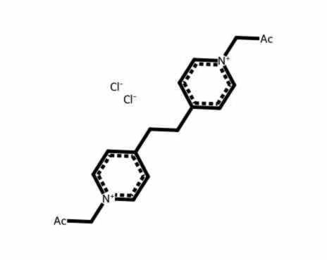 CC(=O)C[n+]1ccc(CCc2cc[n+](CC(C)=O)cc2)cc1.[Cl-].[Cl-]